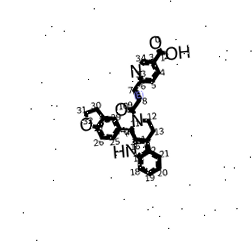 O=C(O)c1ccc(/C=C/C(=O)N2CCc3c([nH]c4ccccc34)[C@H]2c2ccc3c(c2)CCO3)nc1